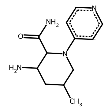 CC1CC(N)C(C(N)=O)N(c2[c]cncc2)C1